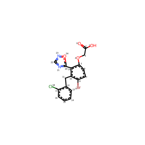 O=C(O)COc1ccc(Br)c(Cc2ccccc2Cl)c1-c1ncno1